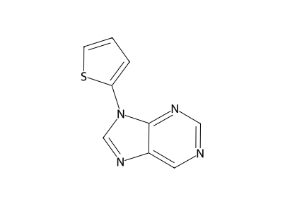 c1csc(-n2cnc3cncnc32)c1